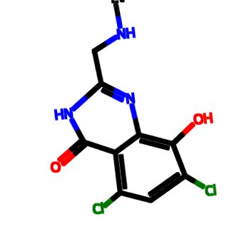 CCNCc1nc2c(O)c(Cl)cc(Cl)c2c(=O)[nH]1